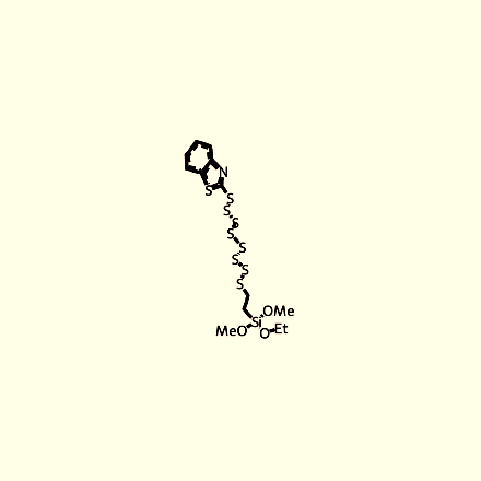 CCO[Si](CCSSSSSSSSc1nc2ccccc2s1)(OC)OC